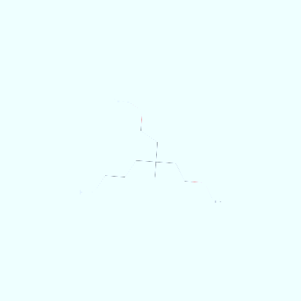 CCCCOCCC(CCCC(=O)O)(CCOCCCC)C(=O)O